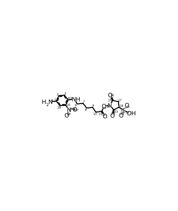 Nc1ccc(NCCCCCC(=O)ON2C(=O)CC(S(=O)(=O)O)C2=O)c([N+](=O)[O-])c1